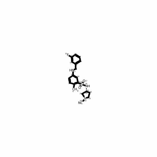 Cc1ccc(NCc2cccc(F)c2)cc1S(=O)(=O)N[C@@H]1CCN(C#N)C1